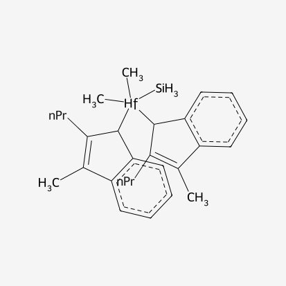 CCCC1=C(C)c2ccccc2[CH]1[Hf]([CH3])([CH3])([SiH3])[CH]1C(CCC)=C(C)c2ccccc21